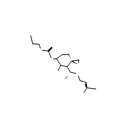 COC1C(OC(=O)NCCNC(C)=O)CC[C@]2(CO2)C1[C@H](C)OCC=C(C)C